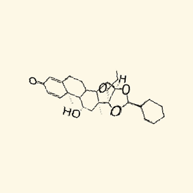 CCC(=O)[C@@]12O[C@H](C3CCCCC3)O[C@@H]1CC1C3CCC4=CC(=O)C=C[C@]4(C)C3[C@@H](O)C[C@@]12C